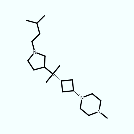 CC(C)CCN1CCC(C(C)(C)[C@H]2C[C@@H](N3CCN(C)CC3)C2)C1